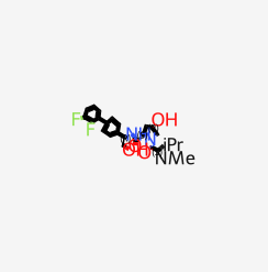 CN[C@H](C(=O)N1C[C@H](O)C[C@H]1C(=O)N[C@@H](CO)c1ccc(-c2cccc(F)c2F)cc1)C(C)C